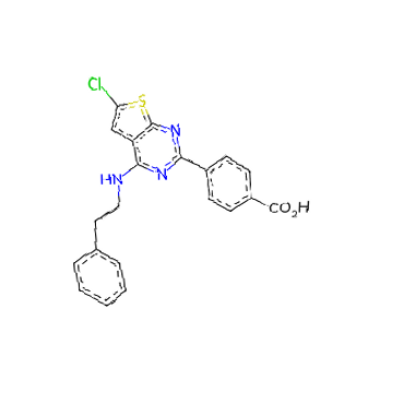 O=C(O)c1ccc(-c2nc(NCCc3ccccc3)c3cc(Cl)sc3n2)cc1